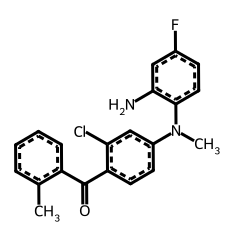 Cc1ccccc1C(=O)c1ccc(N(C)c2ccc(F)cc2N)cc1Cl